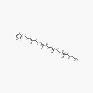 C/C(=C\CC/C(C)=C/CCc1ccoc1)CC/C=C(\C)CC/C=C(\C)CCCC(C)C